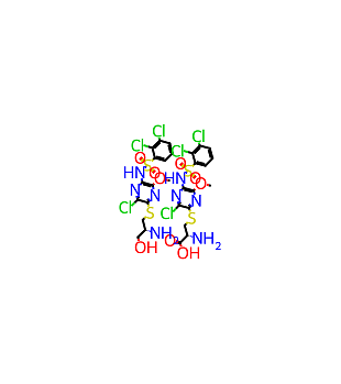 COc1nc(SC[C@H](N)C(=O)O)c(Cl)nc1NS(=O)(=O)c1cccc(Cl)c1Cl.COc1nc(SC[C@H](N)CO)c(Cl)nc1NS(=O)(=O)c1cccc(Cl)c1Cl